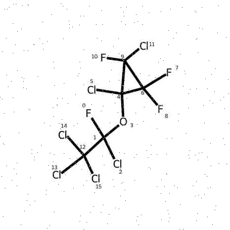 FC(Cl)(OC1(Cl)C(F)(F)C1(F)Cl)C(Cl)(Cl)Cl